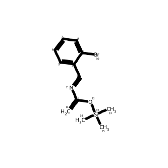 C=C(/N=C/c1ccccc1Br)O[Si](C)(C)C